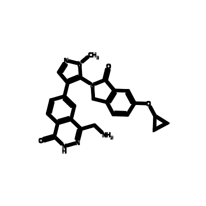 Cn1ncc(-c2ccc3c(=O)[nH]nc(CN)c3c2)c1N1Cc2ccc(OC3CC3)cc2C1=O